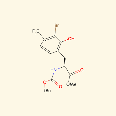 COC(=O)[C@H](Cc1ccc(C(F)(F)F)c(Br)c1O)NC(=O)OC(C)(C)C